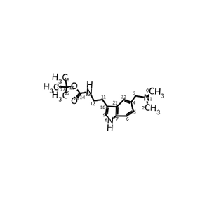 CN(C)Cc1ccc2[nH]cc(CCNC(=O)OC(C)(C)C)c2c1